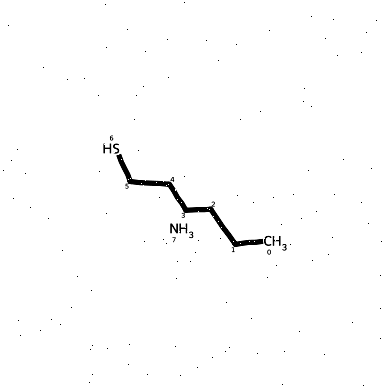 CCCCCCS.N